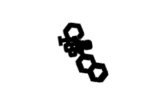 O=C(O)C1(I)CCCCN1S(=O)(=O)c1ccc2ccccc2c1